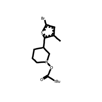 Cc1cc(Br)sc1C1CCCN(OC(=O)C(C)(C)C)C1